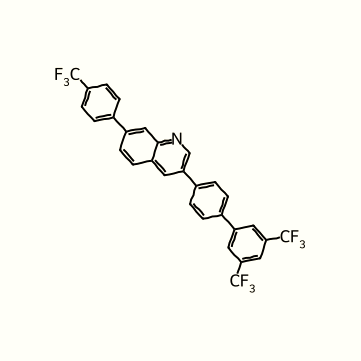 FC(F)(F)c1ccc(-c2ccc3cc(-c4ccc(-c5cc(C(F)(F)F)cc(C(F)(F)F)c5)cc4)cnc3c2)cc1